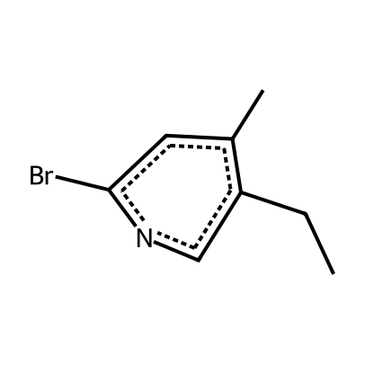 CCc1cnc(Br)cc1C